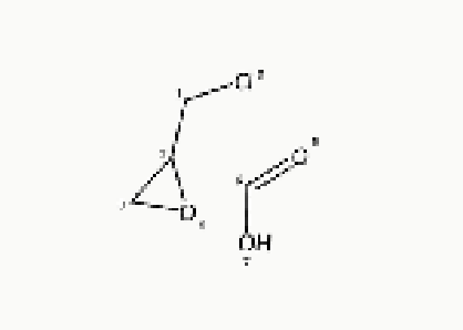 ClCC1CO1.O=CO